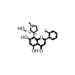 CN1CC[C@@H](c2c(O)cc(O)c3c(=O)cc(-c4ccccc4I)oc23)[C@@H]1CO